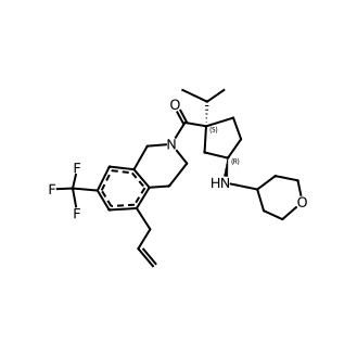 C=CCc1cc(C(F)(F)F)cc2c1CCN(C(=O)[C@@]1(C(C)C)CC[C@@H](NC3CCOCC3)C1)C2